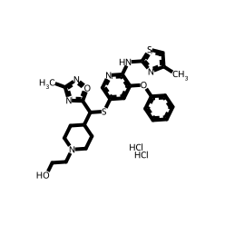 Cc1csc(Nc2ncc(SC(c3nc(C)no3)C3CCN(CCO)CC3)cc2Oc2ccccc2)n1.Cl.Cl